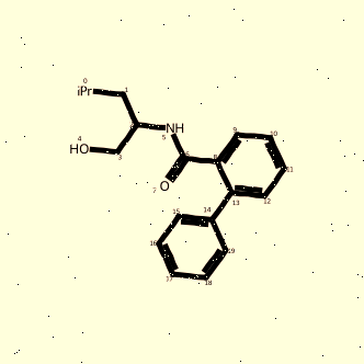 CC(C)CC(CO)NC(=O)c1ccccc1-c1ccccc1